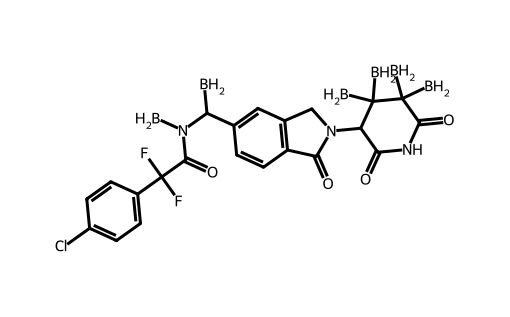 BC(c1ccc2c(c1)CN(C1C(=O)NC(=O)C(B)(B)C1(B)B)C2=O)N(B)C(=O)C(F)(F)c1ccc(Cl)cc1